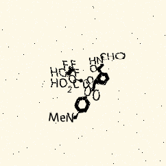 CNC[C@H]1CC[C@H](OC(=O)C2(OOCC(=O)O)c3cccc(C(=O)CNC=O)c32)CC1.O=C(O)C(F)(F)F